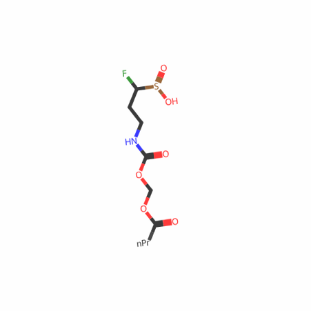 CCCC(=O)OCOC(=O)NCCC(F)S(=O)O